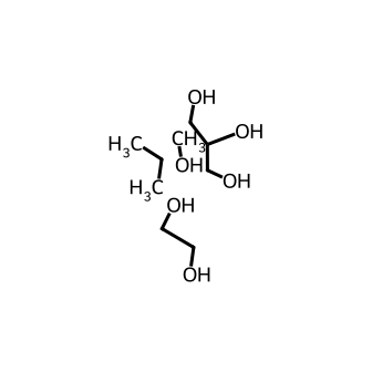 CCC.CO.OCC(O)CO.OCCO